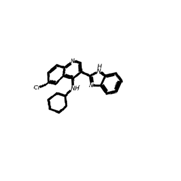 Clc1ccc2ncc(-c3nc4ccccc4[nH]3)c(NC3CCCCC3)c2c1